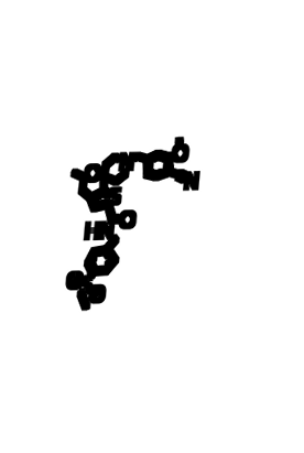 CCS(=O)(=O)c1ccc(CNC(=O)c2cc3c(s2)C2(CCN(Cc4ccc(C#N)c(OC)c4)CC2)OC(C)C3)cc1